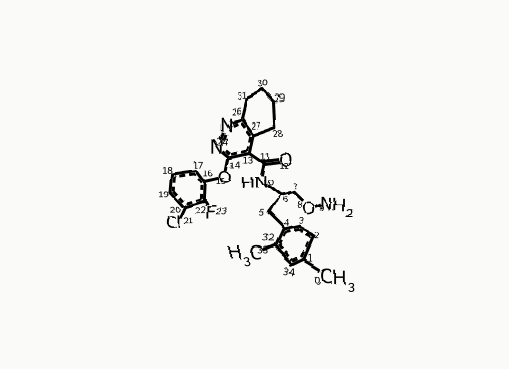 Cc1ccc(C[C@H](CON)NC(=O)c2c(Oc3cccc(Cl)c3F)nnc3c2CCCC3)c(C)c1